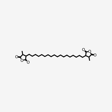 CC1C(=O)OC(=O)C1CCCCCCCCCCCCCCCCCCC1C(=O)OC(=O)C1C